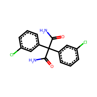 NC(=O)C(C(N)=O)(c1cccc(Cl)c1)c1cccc(Cl)c1